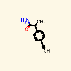 C#Cc1ccc(C(C)C(N)=O)cc1